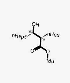 CCCCCCC[C@H](O)[C@H](CCCCCC)C(=O)OC(C)(C)C